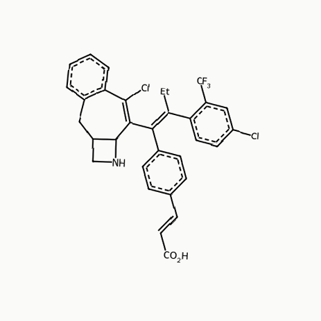 CC/C(=C(\C1=C(Cl)c2ccccc2CC2CNC12)c1ccc(/C=C/C(=O)O)cc1)c1ccc(Cl)cc1C(F)(F)F